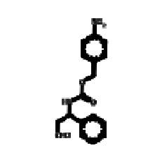 O=CCC(NC(=O)OCc1ccc([N+](=O)[O-])cc1)c1ccccc1